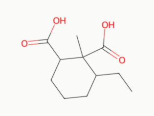 CCC1CCCC(C(=O)O)C1(C)C(=O)O